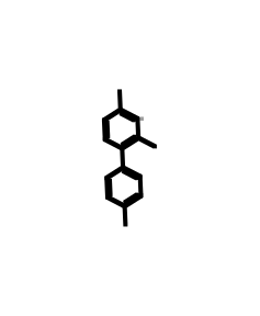 Cc1[c]c(C)c(-c2ccc(C)cc2)cc1